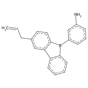 C=CCc1ccc2c(c1)-c1ccccc1B2c1cccc(N)c1